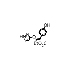 CCOC(=O)C(=Cc1ccc(O)cc1)Oc1cn[nH]n1